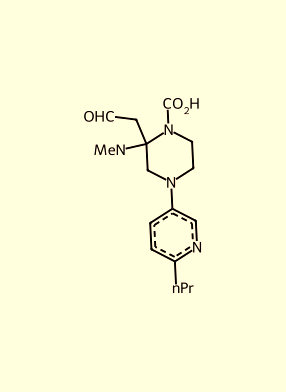 CCCc1ccc(N2CCN(C(=O)O)C(CC=O)(NC)C2)cn1